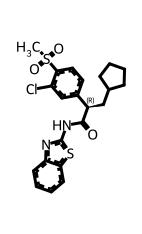 CS(=O)(=O)c1ccc([C@@H](CC2CCCC2)C(=O)Nc2nc3ccccc3s2)cc1Cl